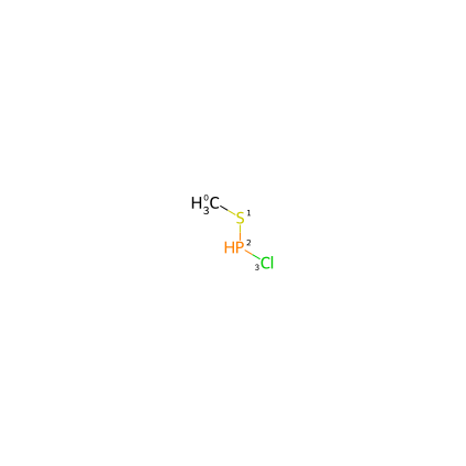 CSPCl